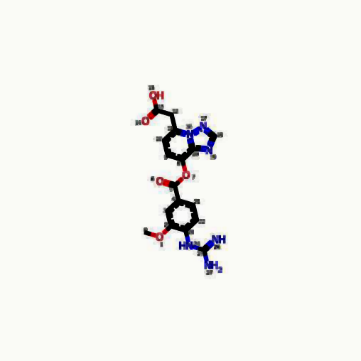 COc1cc(C(=O)Oc2ccc(CC(=O)O)n3ncnc23)ccc1NC(=N)N